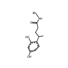 CCC(C)NC(=O)CCC(C)c1ccc(O)cc1O